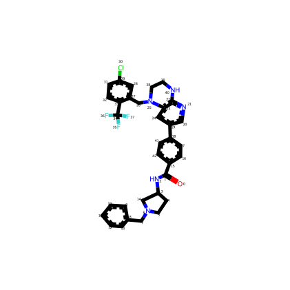 O=C(NC1CCN(Cc2ccccc2)C1)c1ccc(-c2cnc3c(c2)N(Cc2cc(Cl)ccc2C(F)(F)F)CCN3)cc1